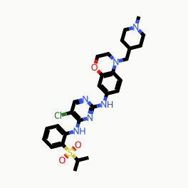 CC(C)S(=O)(=O)c1ccccc1Nc1nc(Nc2ccc3c(c2)OCCN3CC2CCN(C)CC2)ncc1Cl